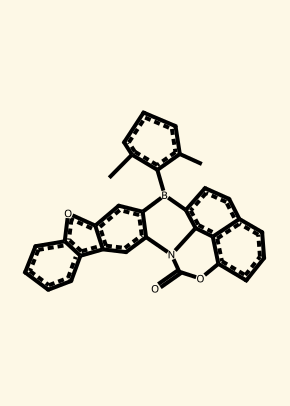 Cc1cccc(C)c1B1c2cc3oc4ccccc4c3cc2N2C(=O)Oc3cccc4ccc1c2c34